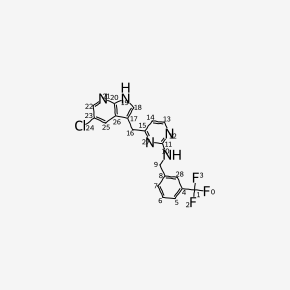 FC(F)(F)c1cccc(CNc2nccc(Cc3c[nH]c4ncc(Cl)cc34)n2)c1